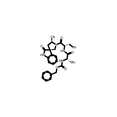 CC(C)C[C@H](NC(=O)[C@@H](NC(=O)OCc1ccccc1)C(C)(C)C)C(=O)N1C[C@]2(C[C@H]1C#N)C(=O)Nc1ccccc12